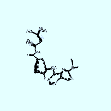 CN(C)c1ncc2ncnc(Nc3cc(C(=O)NC(=N)/C=C(\O)C(C)(C)C)ccc3F)c2n1